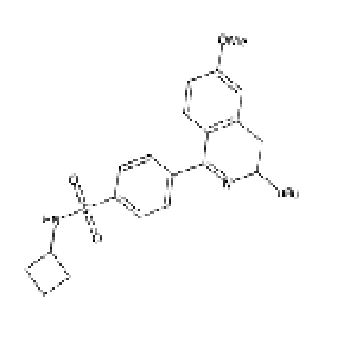 CCCCC1Cc2cc(OC)ccc2C(c2ccc(S(=O)(=O)NC3CCC3)cc2)=N1